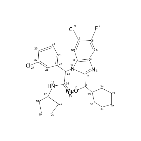 COC(c1nc2cc(F)c(Cl)cc2n1C(C(=O)NC1CCCC1)c1cccc(Cl)c1)C1CCCCC1